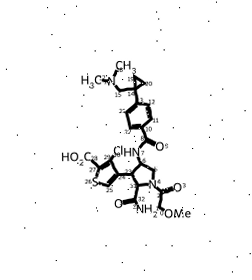 COCC(=O)N1CC(NC(=O)c2ccc(C3(CN(C)C)CC3)cc2)C(c2csc(C(=O)O)c2Cl)C1C(N)=O